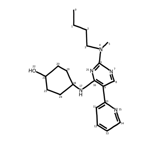 CCCCN(C)c1ncc(-c2ccccn2)c(NC2CCC(O)CC2)n1